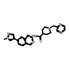 Cn1cc(-c2ccc3cnc(NC(=O)C4CCN(Cc5cnccn5)CC4)cc3c2)cn1